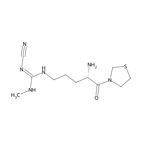 CN/C(=N/C#N)NCCC[C@H](N)C(=O)N1CCSC1